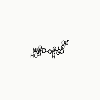 CCOC(=O)COc1cccc2oc(C(=O)Nc3ccc(-c4ccc(S(=O)(=O)N[C@H](C(=O)O)C(C)C)cc4)cc3)c(C)c12